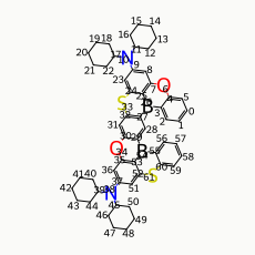 c1ccc2c(c1)Oc1cc(N(C3CCCCC3)C3CCCCC3)cc3c1B2c1cc2c(cc1S3)Oc1cc(N(C3CCCCC3)C3CCCCC3)cc3c1B2c1ccccc1S3